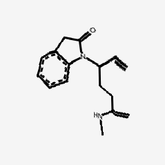 C=CC(CCC(=C)NC)N1C(=O)Cc2ccccc21